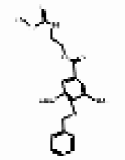 COc1cc(C(=O)OCCNC(=O)OC(C)(C)C)cc(OC)c1OCc1ccccc1